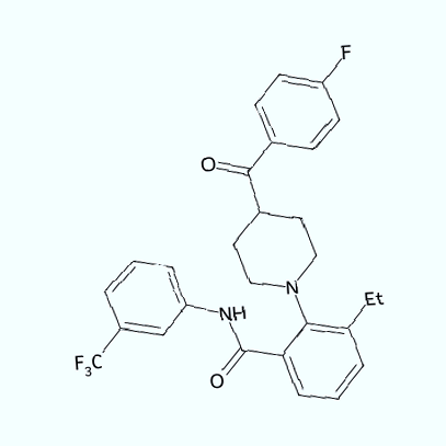 CCc1cccc(C(=O)Nc2cccc(C(F)(F)F)c2)c1N1CCC(C(=O)c2ccc(F)cc2)CC1